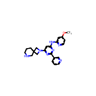 FC(F)(F)Oc1ccnc(Nc2cc(N3CC4(CCCNC4)C3)nc(-c3cccnc3)n2)c1